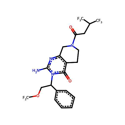 Nc1nc2c(c(=O)n1C(COC(F)(F)F)c1ccccc1)CCN(C(=O)CC(C(F)(F)F)C(F)(F)F)C2